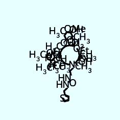 CC[C@H]1OC(=O)[C@H](C)[C@@H](O[C@H]2C[C@@](C)(OC)[C@@H](O)[C@H](C)O2)[C@H](C)[C@@H](O[C@@H]2O[C@H](C)C[C@H](N(C)C)[C@H]2O)[C@](C)(O)C[C@@H](C)CN(CCCNC(=O)NCCc2cccs2)[C@H](C)[C@@H](O)[C@]1(C)O